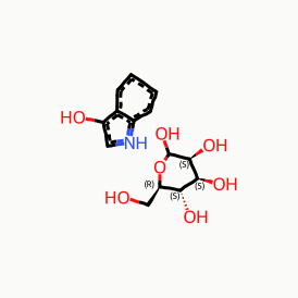 OC[C@H]1OC(O)[C@@H](O)[C@@H](O)[C@@H]1O.Oc1c[nH]c2ccccc12